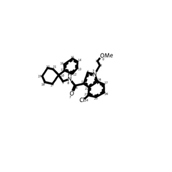 COCCn1cc(C(=O)NCC2(c3ccccc3)CCCCC2)c2c(Cl)cccc21